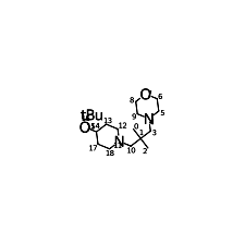 CC(C)(CN1CCOCC1)CN1CCC(OC(C)(C)C)CC1